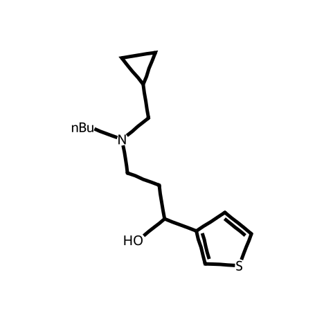 CCCCN(CCC(O)c1ccsc1)CC1CC1